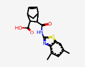 Cc1cc(C)c2nc(NC(=O)C3C4C=CC(C4)C3C(=O)O)sc2c1